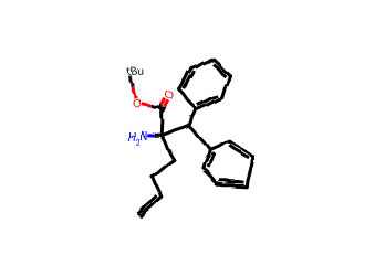 C=CCCC(N)(C(=O)OC(C)(C)C)C(c1ccccc1)c1ccccc1